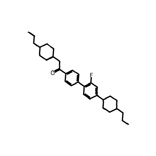 CCCC1CCC(CC(=O)c2ccc(-c3ccc(C4CCC(CCC)CC4)cc3F)cc2)CC1